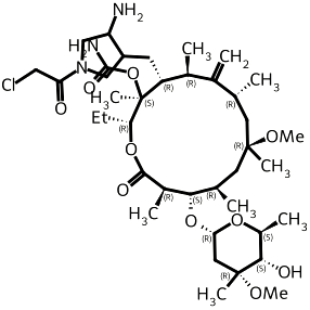 C=C1[C@H](C)C[C@@](C)(OC)C[C@@H](C)[C@H](O[C@H]2C[C@@](C)(OC)[C@@H](O)[C@H](C)O2)[C@@H](C)C(=O)O[C@H](CC)[C@@](C)(OC(N)=O)[C@H](CC2CN(C(=O)CCl)CC2N)[C@H]1C